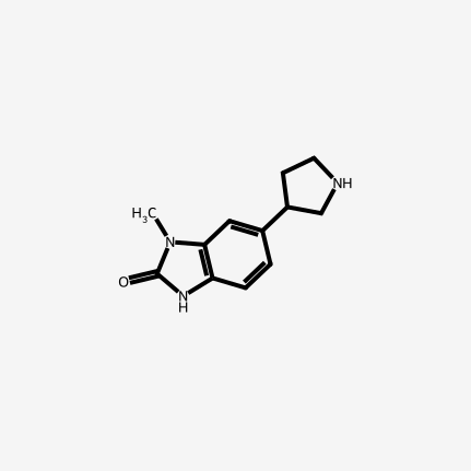 Cn1c(=O)[nH]c2ccc(C3CCNC3)cc21